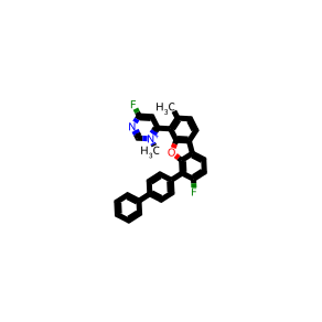 Cc1ccc2c(oc3c(-c4ccc(-c5ccccc5)cc4)c(F)ccc32)c1-c1cc(F)nc[n+]1C